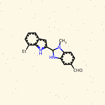 CCc1cccc2cc(C3Nc4cc(C=O)ccc4N3C)[nH]c12